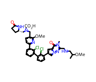 COc1nc(-c2cccc(-c3cccc(-c4cc5c(=O)n(C)c(CNCC(C)OC)nn5c4)c3Cl)c2Cl)ccc1CN(C[C@@H]1CCC(=O)N1)C(=O)O